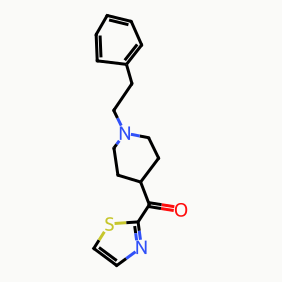 O=C(c1nccs1)C1CCN(CCc2ccccc2)CC1